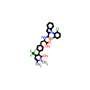 CC1=CC(C(F)(F)F)=C(c2ccc(CC(NC(=O)c3cc4ccccc4n3-c3c(Cl)cccc3Cl)C(=O)O)cc2)C(O)N1C